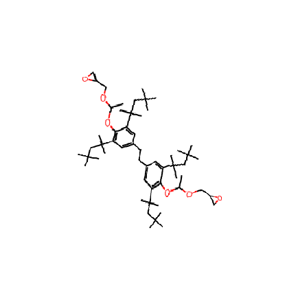 CC(OCC1CO1)Oc1c(C(C)(C)CC(C)(C)C)cc(CCc2cc(C(C)(C)CC(C)(C)C)c(OC(C)OCC3CO3)c(C(C)(C)CC(C)(C)C)c2)cc1C(C)(C)CC(C)(C)C